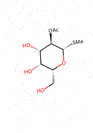 CS[C@@H]1O[C@H](CO)[C@H](O)[C@H](O)[C@H]1OC(C)=O